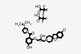 CN(C)[C@H]1CCN(C(=O)c2ccc(O)cc2OC[C@@H](O)CN2CCC3(CC2)Cc2cc(Cl)ccc2O3)C1.O=C(O)C(F)(F)F.O=C(O)C(F)(F)F